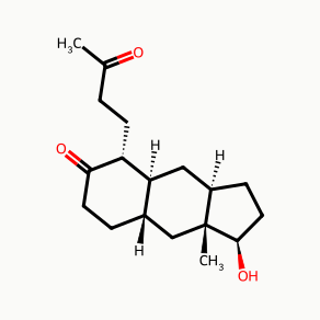 CC(=O)CC[C@H]1C(=O)CC[C@H]2C[C@]3(C)[C@H](CC[C@H]3O)C[C@@H]21